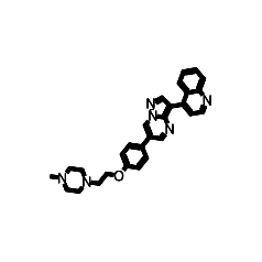 CN1CCN(CCOc2ccc(-c3cnc4c(-c5ccnc6ccccc56)cnn4c3)cc2)CC1